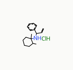 C=CC(NC1(C)CCCCC1C)c1ccccc1.Cl